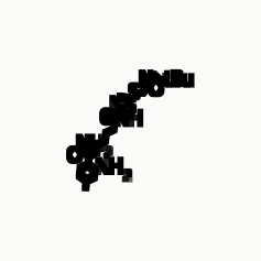 Cc1ccc(C(CCCCCC(=O)Nc2ncc(SCc3ncc(C(C)(C)C)o3)s2)C(N)=O)c(N)c1